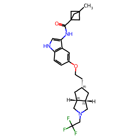 CC12CC(C(=O)Nc3c[nH]c4ccc(OCC[C@@H]5C[C@@H]6CN(CC(F)(F)F)C[C@@H]6C5)cc34)(C1)C2